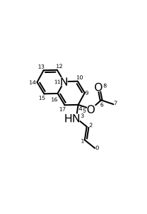 CC=CNC1(OC(C)=O)C=CN2C=CC=CC2=C1